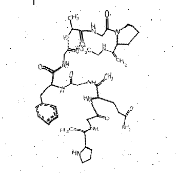 C=C(NCC(=O)NC(CCC(N)=O)C(=C)NCC(=O)NC(Cc1ccccc1)C(=O)NCC(=O)NC(C)C(=O)NCC(=O)N1CCCC1C(=C)NCC(=O)O)C1CCCN1